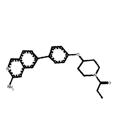 CCC(=O)N1CCC(Oc2ccc(-c3ccc4cnc(N)cc4c3)cc2)CC1